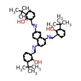 CC(C)(C)c1cccc(/C=N/c2ccc3c(/N=C/c4cccc(C(C)(C)C)c4O)ccc(/N=C/c4cccc(C(C)(C)C)c4O)c3c2)c1O